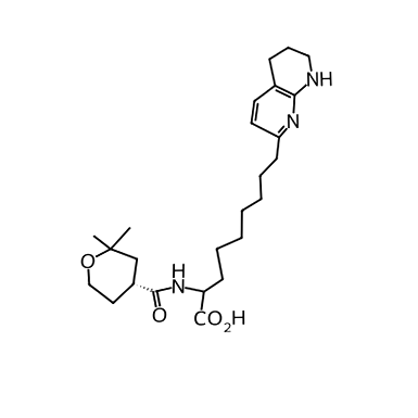 CC1(C)C[C@H](C(=O)NC(CCCCCCCc2ccc3c(n2)NCCC3)C(=O)O)CCO1